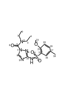 CCN(CC)C(=O)n1cnc(NS(=O)(=O)c2cc(C)ccc2OC)n1